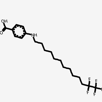 O=C(O)c1ccc(NCCCCCCCCCCCC(F)(F)C(F)(F)F)cc1